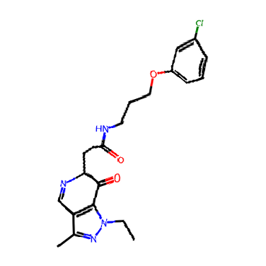 CCn1nc(C)c2c1C(=O)C(CC(=O)NCCCOc1cccc(Cl)c1)N=C2